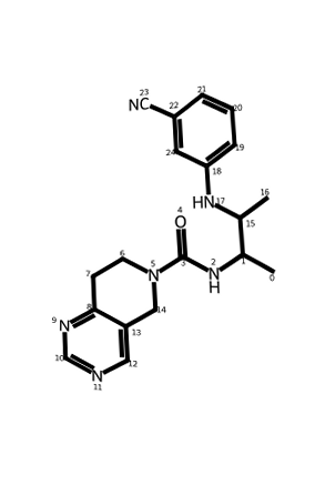 CC(NC(=O)N1CCc2ncncc2C1)C(C)Nc1cccc(C#N)c1